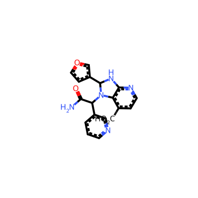 NC(=O)C(c1cccnc1)N1c2c(C(=O)O)ccnc2NC1c1ccoc1